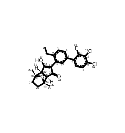 CCc1ccc(-c2ccc(Cl)c(Cl)c2F)cc1C1=C(O)[C@H]2[C@@H](C1=O)[C@]1(C)CC[C@@]2(C)O1